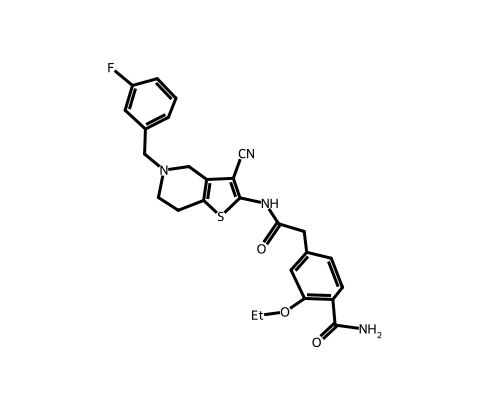 CCOc1cc(CC(=O)Nc2sc3c(c2C#N)CN(Cc2cccc(F)c2)CC3)ccc1C(N)=O